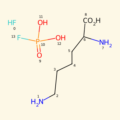 F.NCCCCC(N)C(=O)O.O=P(O)(O)F